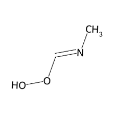 C/N=C/OO